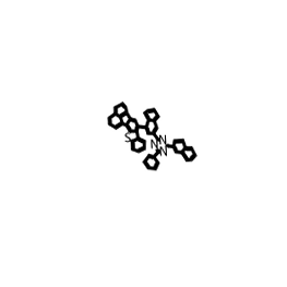 c1ccc(-c2nc(-c3ccc4ccccc4c3)nc(-c3cc(-c4cc5c(c6sc7ccccc7c46)-c4cccc6cccc-5c46)c4ccccc4c3)n2)cc1